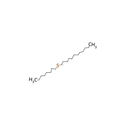 CCCCCCCCCCC[CH]SCCCCCCCC